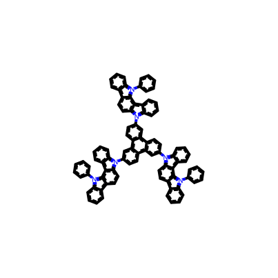 c1ccc(-n2c3ccccc3c3ccc4c(c5ccccc5n4-c4ccc5c(c4)c4ccc(-n6c7ccccc7c7c6ccc6c8ccccc8n(-c8ccccc8)c67)cc4c4ccc(-n6c7ccccc7c7c6ccc6c8ccccc8n(-c8ccccc8)c67)cc54)c32)cc1